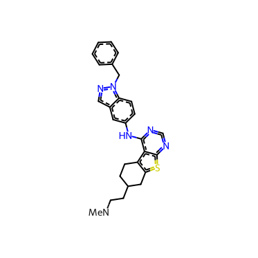 CNCCC1CCc2c(sc3ncnc(Nc4ccc5c(cnn5Cc5ccccc5)c4)c23)C1